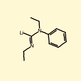 [Li][C](=NCC)N(CC)c1ccccc1